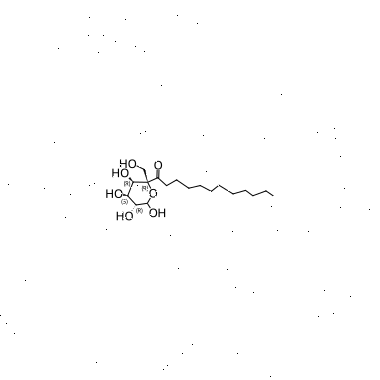 CCCCCCCCCCCC(=O)[C@]1(CO)OC(O)[C@H](O)[C@@H](O)[C@H]1O